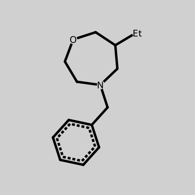 CCC1COCCN(Cc2ccccc2)C1